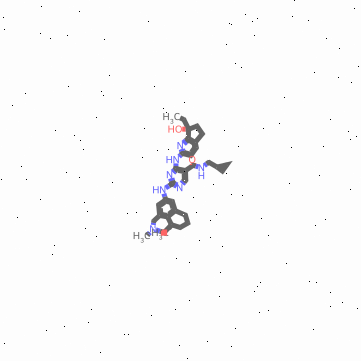 CCC1(O)CCc2ccc(Nc3nc(Nc4cc5c6c(c4)CN(C)CC6(C)CCC5)ncc3C(=O)NCC3CC3)nc21